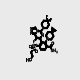 NC(=O)c1ccc(NS(=O)(=O)CCO)c(-c2nc(N3CCC(F)(F)CC3)n3cnnc3c2F)c1N1CCC2(CC1)CC2